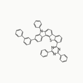 c1ccc(-c2cccc(-c3ccc4c5c6sc7c(-c8nc(-c9ccccc9)nc(-c9ccccc9)n8)cccc7c6ccc5n(-c5ccccc5)c4c3)c2)cc1